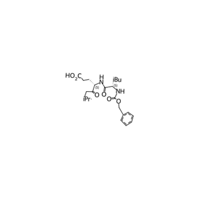 CCC(C)[C@H](NC(=O)OCc1ccccc1)C(=O)N[C@@H](CCC(=O)O)C(=O)C[C](C)C